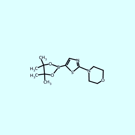 CC1(C)OB(c2cnc(N3CCOCC3)s2)OC1(C)C